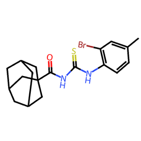 Cc1ccc(NC(=S)NC(=O)C23CC4CC(CC(C4)C2)C3)c(Br)c1